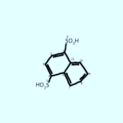 O=S(=O)(O)c1ccc(S(=O)(=O)O)c2ccccc12